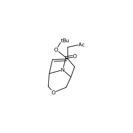 CC(=O)CC1=CC2COCC(C1)N2C(=O)OC(C)(C)C